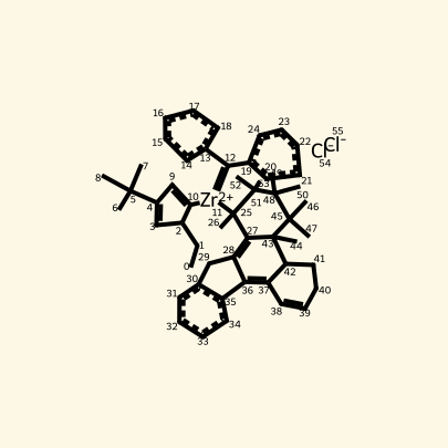 CCC1C=C(C(C)(C)C)C=[C]1[Zr+2](=[C](c1ccccc1)c1ccccc1)[C]1(C)C2=C3Cc4ccccc4C3=C3C=CCCC3C2(C)C(C)(C)C(C)(C)C1(C)C.[Cl-].[Cl-]